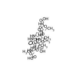 CCC[C@H](NC(=O)[C@@H]1C[C@@H](NC(=O)Nc2ccccc2)CN1C(=O)[C@@H](NC(=O)[C@@H](NC(=O)[C@H](CCC(=O)O)NC(=O)[C@H](CCC(=O)O)NC(C)=O)C(C)C)C(C)C)C(=O)C(=O)NCC(=O)O